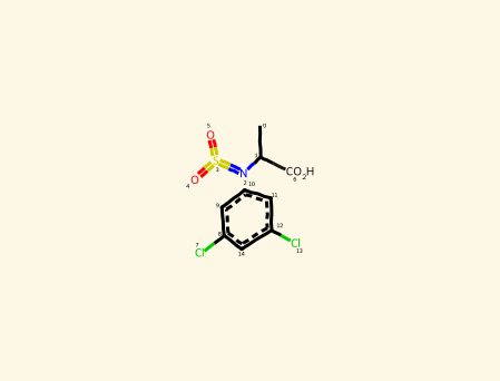 CC(N=S(=O)=O)C(=O)O.Clc1cccc(Cl)c1